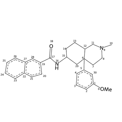 COc1cccc(C23CCN(C)CC2CCC(NC(=O)c2ccc4ccccc4c2)C3)c1